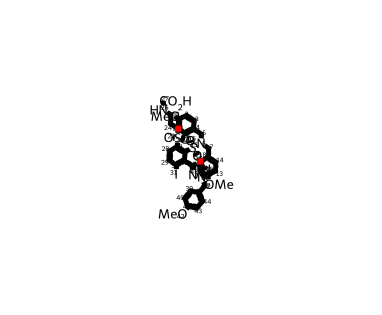 COc1ccc(CN(Cc2ccc(OC)cc2)S(=O)(=O)c2c(S(=O)(=O)CCCNC(=O)O)ccc(I)c2-c2nnn(Cc3ccc(OC)cc3)n2)cc1